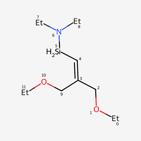 CCOCC(=C[SiH2]N(CC)CC)COCC